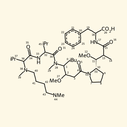 CCC(C)C(C(CC(=O)N1CCC[C@H]1C(OC)C(C)C(=O)NC(Cc1ccccc1)C(=O)O)OC)N(C)C(=O)C(NC(=O)C(C(C)C)N(C)CCCCNC)C(C)C